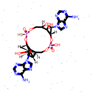 Nc1ncnc2c1ncn2[C@H]1[C@H](O)[C@@H]2O[P@@](=O)(S)OC[C@H]3O[C@@H](n4cnc5c(N)ncnc54)[C@H](OP(=O)(O)OC[C@@H]4[C@@H]2C[C@@H]41)[C@@H]3O